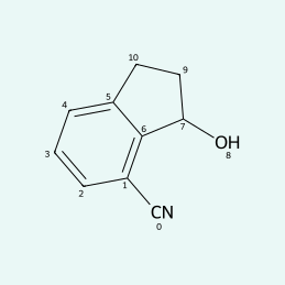 N#Cc1cccc2c1C(O)CC2